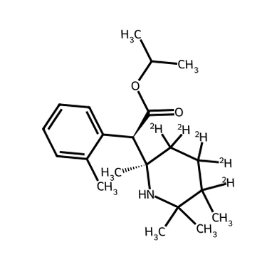 [2H]C1([2H])C([2H])(C)C(C)(C)N[C@@](C)([C@H](C(=O)OC(C)C)c2ccccc2C)C1([2H])[2H]